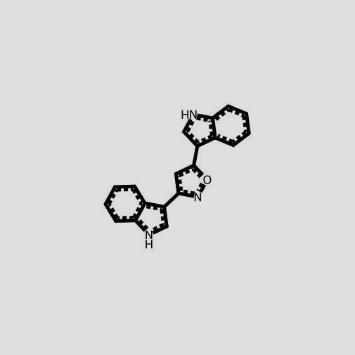 c1ccc2c(-c3cc(-c4c[nH]c5ccccc45)on3)c[nH]c2c1